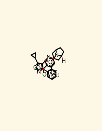 COC(=O)c1cnc(N2C3CC[C@H]2C[C@H](OCc2c(-c4ccccc4C)noc2C2CC2)C3)cc1C(F)(F)F